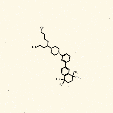 CC1(C)CCC(C)(C)c2cc(-c3cccc(N4CCN(C(CCN)CCCCO)CC4)n3)ccc21